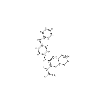 CC(=O)C(C)N(CC1CCNCC1)C(=O)Cc1ccc(Oc2ccccc2)cc1